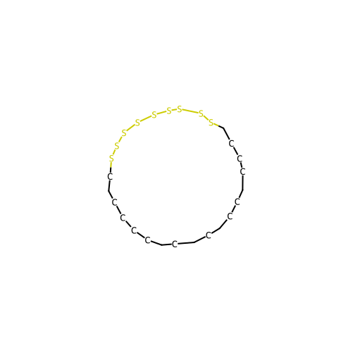 C1CCCCCCCCCSSSSSSSSSCCCCCCCC1